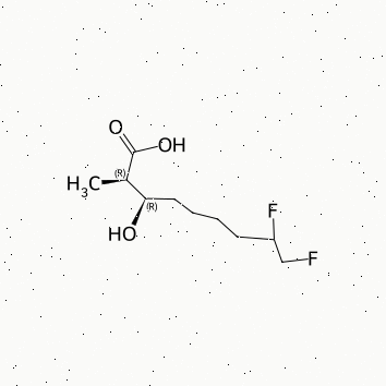 C[C@@H](C(=O)O)[C@H](O)CCCCC(F)CF